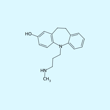 CNCCCN1c2ccccc2CCc2cc(O)ccc21